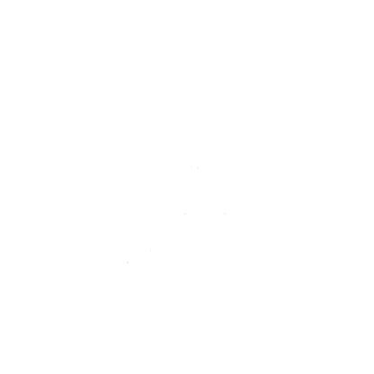 CC(=O)C(=O)OC1CC2CC1C1OC(=O)OC21